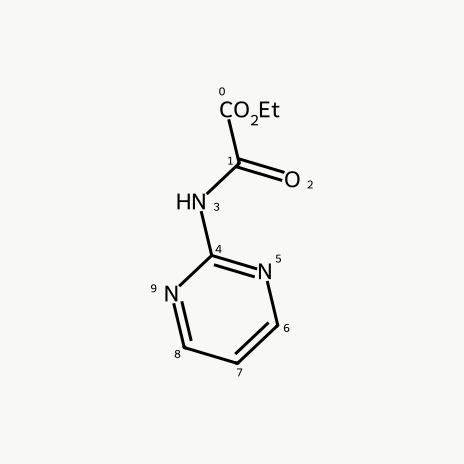 CCOC(=O)C(=O)Nc1ncccn1